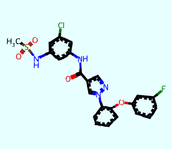 CS(=O)(=O)Nc1cc(Cl)cc(NC(=O)c2cnn(-c3ccccc3Oc3cccc(F)c3)c2)c1